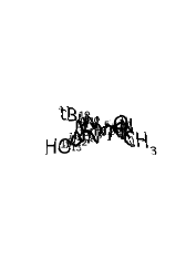 Cc1noc(Cn2cnc3c(N4CC[C@H](O)C4)nc(C(C)(C)C)nc32)n1